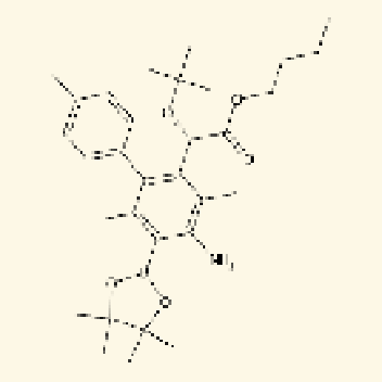 CCCCOC(=O)[C@@H](OC(C)(C)C)c1c(C)c(N)c(B2OC(C)(C)C(C)(C)O2)c(C)c1-c1ccc(C)cc1